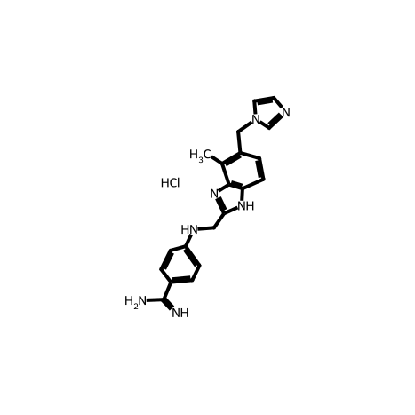 Cc1c(Cn2ccnc2)ccc2[nH]c(CNc3ccc(C(=N)N)cc3)nc12.Cl